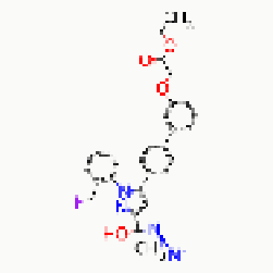 CCOC(=O)COc1cccc(-c2ccc(-c3cc(C(C)(O)N=[N+]=[N-])nn3-c3ccccc3CI)cc2)c1